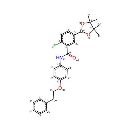 CC1(C)OB(c2ccc(F)c(C(=O)Nc3ccc(OCCc4ccccc4)cc3)c2)OC1(C)C